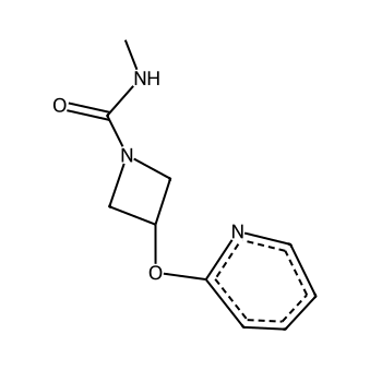 CNC(=O)N1CC(Oc2ccccn2)C1